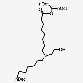 CCCCCCCCCCCCCCCCN(CCO)CCCCCCCC(=O)OC(CCCCCCCC)CCCCCCCC